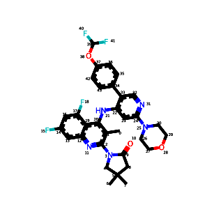 Cc1c(N2CC(C)(C)CC2=O)nc2cc(F)cc(F)c2c1Nc1cc(N2CCOCC2)ncc1-c1ccc(OC(F)F)cc1